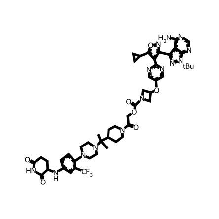 CC(C)(C1CCN(C(=O)COC(=O)N2CC(Oc3cnc(-c4c(-c5nn(C(C)(C)C)c6ncnc(N)c56)noc4C4CC4)nc3)C2)CC1)N1CCN(c2ccc(NC3CCC(=O)NC3=O)cc2C(F)(F)F)CC1